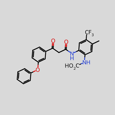 Cc1cc(NC(=O)O)c(NC(=O)CC(=O)c2cccc(Oc3ccccc3)c2)cc1C(F)(F)F